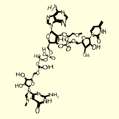 C=C1C=CN([C@@H]2O[C@H](COP(=O)(O)OC3[C@@H](COP(=O)(O)OP(O)OP(O)OC[C@H]4O[C@@H](n5c[n+](C)c6c(=O)[nH]c(N)nc65)[C@@H](O)C4O)O[C@@H](n4cnc5c(N)ncnc54)[C@H]3OCCOC)C(O)[C@@H]2O)C(=O)N1